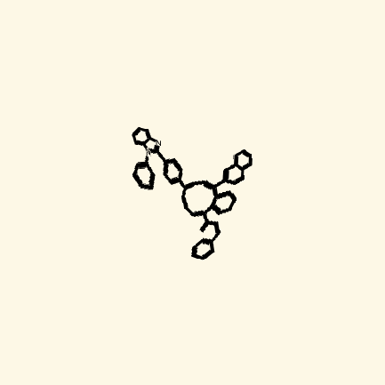 C=C(/C=C\c1ccccc1)c1cccc(-c2ccc(-c3nc4ccccc4n3-c3ccccc3)cc2)ccc(-c2ccc3ccccc3c2)c2c1=CCCC=2